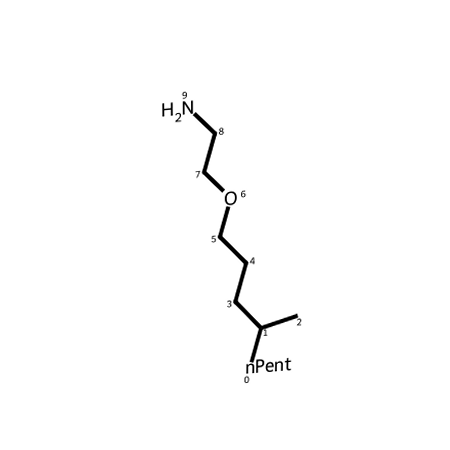 CCCCCC(C)CCCOCCN